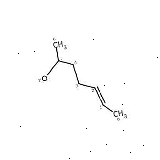 C/C=C/CCC(C)[O]